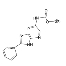 CC(C)(C)OC(=O)Nc1cnc2[nH]c(-c3ccccc3)nc2c1